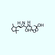 CC1CCC(C)(C)C1C=CC(N)C(O)N[C@@H](C=O)CC(=O)O